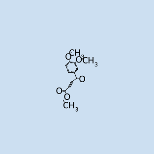 CCOC(=O)C#CC(=O)c1ccc(OC)c(OC)c1